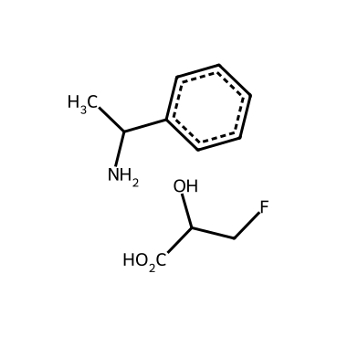 CC(N)c1ccccc1.O=C(O)C(O)CF